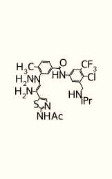 CC(=O)Nc1ncc(/C(N)=C/N(N)c2cc(C(=O)Nc3cc(CNC(C)C)c(Cl)c(C(F)(F)F)c3)ccc2C)s1